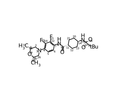 C[C@@H]1CN(c2ccc(NC(=O)[C@H]3CC[C@H](NS(=O)(=O)C(C)(C)C)CC3)c(F)c2F)C[C@H](C)O1